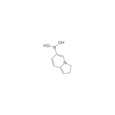 OB(O)C1=CN2CCC=C2C=C1